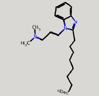 CCCCCCCCCCCCCCCCCc1nc2ccccc2n1CCCN(C)C